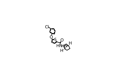 O=C(N[C@@H]1C[C@H]2CC[C@@H]1N2)c1ccc(Oc2cccc(Cl)c2)s1